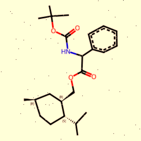 CC(C)[C@@H]1CC[C@@H](C)C[C@H]1COC(=O)C(NC(=O)OC(C)(C)C)c1ccccc1